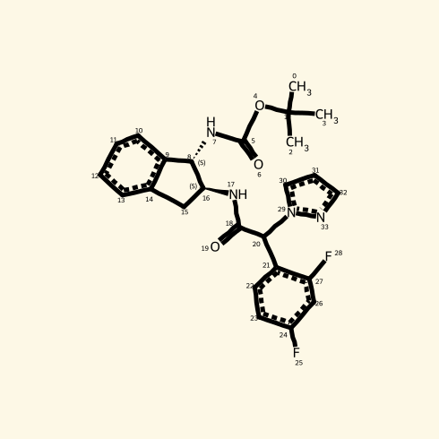 CC(C)(C)OC(=O)N[C@H]1c2ccccc2C[C@@H]1NC(=O)C(c1ccc(F)cc1F)n1cccn1